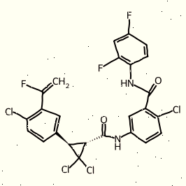 C=C(F)c1cc([C@H]2[C@H](C(=O)Nc3ccc(Cl)c(C(=O)Nc4ccc(F)cc4F)c3)C2(Cl)Cl)ccc1Cl